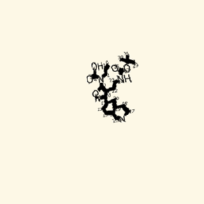 C=CCN(C(=O)O)c1onc(-c2ccc3cnccc3c2)c1CCNC(=O)OC(C)(C)C